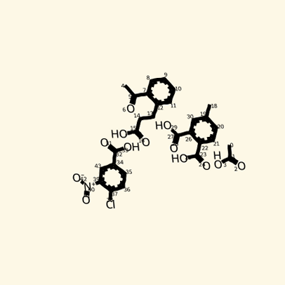 CC(=O)O.CC(=O)c1ccccc1CCC(=O)O.Cc1ccc(C(=O)O)c(C(=O)O)c1.O=C(O)c1ccc(Cl)c([N+](=O)[O-])c1